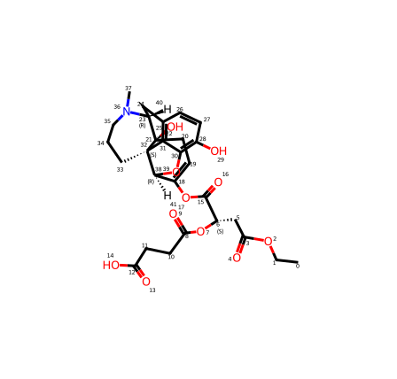 CCOC(=O)C[C@H](OC(=O)CCC(=O)O)C(=O)OC1=CC[C@@]2(O)[C@H]3Cc4ccc(O)c5c4[C@@]2(CCCN3C)[C@H]1O5